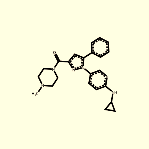 CN1CCN(C(=O)c2cc(-c3ccccc3)n(-c3ccc(NC4CC4)nc3)n2)CC1